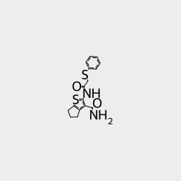 NC(=O)c1c(NC(=O)CSc2ccccc2)sc2c1CCC2